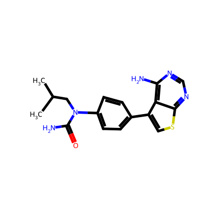 CC(C)CN(C(N)=O)c1ccc(-c2csc3ncnc(N)c23)cc1